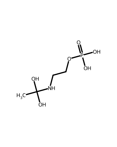 CC(O)(O)NCCOP(=O)(O)O